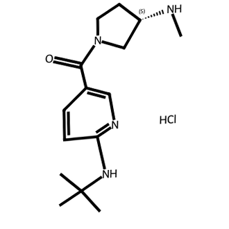 CN[C@H]1CCN(C(=O)c2ccc(NC(C)(C)C)nc2)C1.Cl